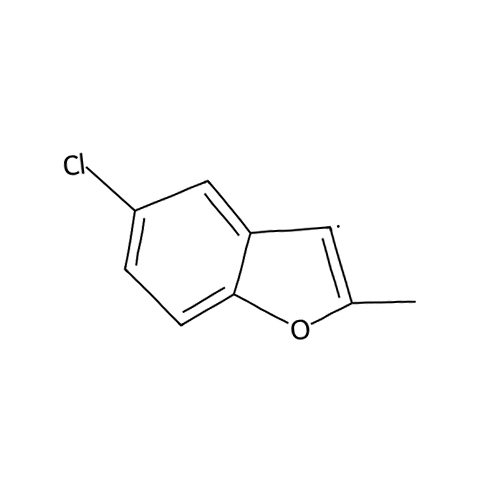 Cc1[c]c2cc(Cl)ccc2o1